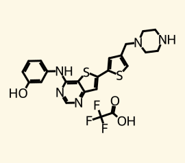 O=C(O)C(F)(F)F.Oc1cccc(Nc2ncnc3cc(-c4cc(CN5CCNCC5)cs4)sc23)c1